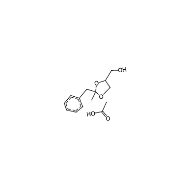 CC(=O)O.CC1(Cc2ccccc2)OCC(CO)O1